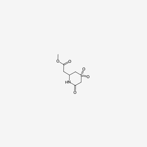 COC(=O)CC1CS(=O)(=O)CC(=O)N1